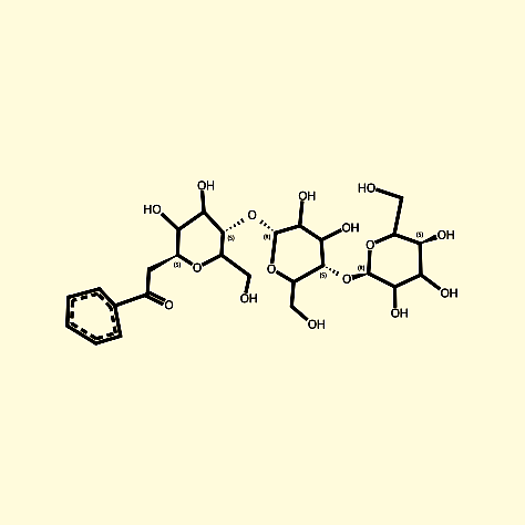 O=C(C[C@@H]1OC(CO)[C@@H](O[C@H]2OC(CO)[C@@H](O[C@H]3OC(CO)[C@@H](O)C(O)C3O)C(O)C2O)C(O)C1O)c1ccccc1